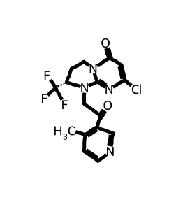 Cc1ccncc1C(=O)CN1c2nc(Cl)cc(=O)n2CC[C@H]1C(F)(F)F